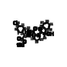 CC(C)(C)OC(=O)C(N)c1ccc(Cl)cc1CNC(=O)[C@@H]1CCCN1C(=O)[C@@](C)(O)c1ccccc1